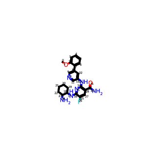 COc1ccccc1-c1cncc(Nc2nc(NC3CCCCC3N)c(F)cc2C(N)=O)c1